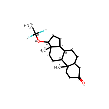 CC12CCC(=O)CC1CCC1C2CCC2(C)C(OC(F)(F)C(=O)O)CCC12